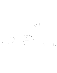 COc1cccc(COc2c(Br)c(I)cc3c(N4CCC5(CC4)CN(C(=O)OC(C)(C)C)C5)nc(OC4CCN(C)CC4)nc23)c1